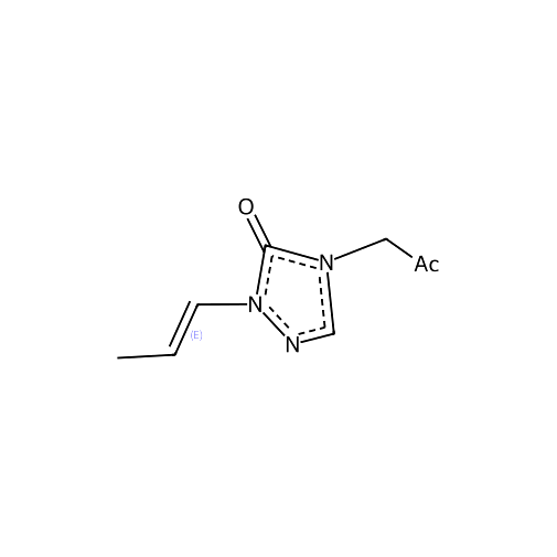 C/C=C/n1ncn(CC(C)=O)c1=O